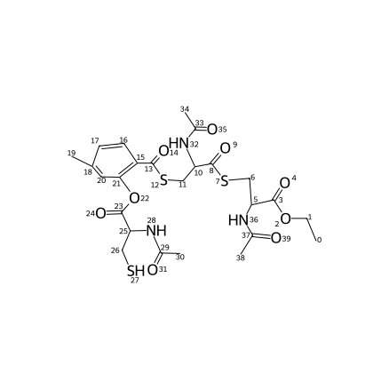 CCOC(=O)C(CSC(=O)C(CSC(=O)c1ccc(C)cc1OC(=O)C(CS)NC(C)=O)NC(C)=O)NC(C)=O